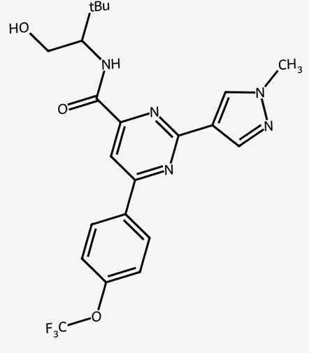 Cn1cc(-c2nc(C(=O)NC(CO)C(C)(C)C)cc(-c3ccc(OC(F)(F)F)cc3)n2)cn1